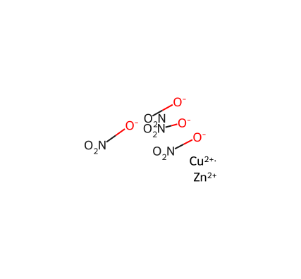 O=[N+]([O-])[O-].O=[N+]([O-])[O-].O=[N+]([O-])[O-].O=[N+]([O-])[O-].[Cu+2].[Zn+2]